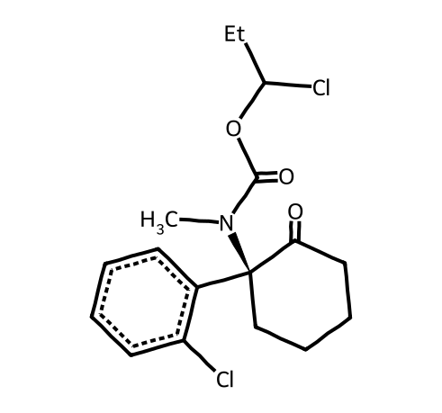 CCC(Cl)OC(=O)N(C)[C@]1(c2ccccc2Cl)CCCCC1=O